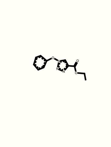 CCOC(=O)c1cn(Oc2ccccc2)nn1